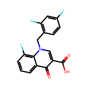 O=C(O)c1cn(Cc2ccc(F)cc2F)c2c(F)cccc2c1=O